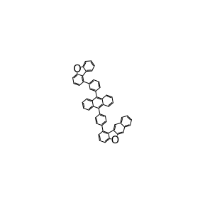 c1cc(-c2c3ccccc3c(-c3ccc(-c4cccc5oc6cc7ccccc7cc6c45)cc3)c3ccccc23)cc(-c2cccc3oc4ccccc4c23)c1